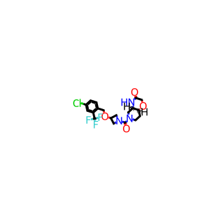 O=C1CO[C@H]2CCN(C(=O)N3CC(OCc4ccc(Cl)cc4C(F)(F)F)C3)C[C@H]2N1